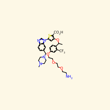 CC(Oc1cc(-n2cnc3ccc(CN4CCN(C)CC4)cc32)sc1C(=O)O)c1ccc(OCCOCCOCCN)cc1C(F)(F)F